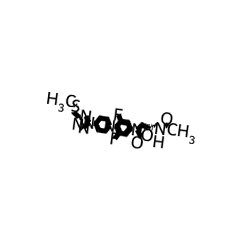 CSCc1nnn(C2CCN(c3c(F)cc(N4C[C@H](CNC(C)=O)OC4=O)cc3F)CC2)n1